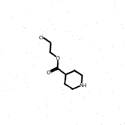 O=C(OCCCl)C1CCNCC1